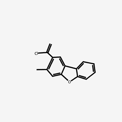 C=C(Cl)c1cc2c(cc1C)oc1ccccc12